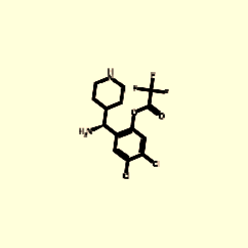 N[C@H](c1cc(Cl)c(Cl)cc1OC(=O)C(F)(F)F)C1CCNCC1